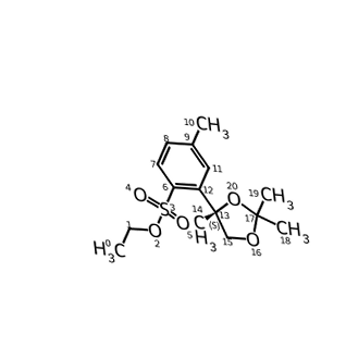 CCOS(=O)(=O)c1ccc(C)cc1[C@@]1(C)COC(C)(C)O1